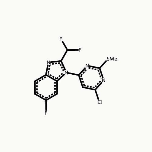 CSc1nc(Cl)cc(-n2c(C(F)F)nc3ccc(F)cc32)n1